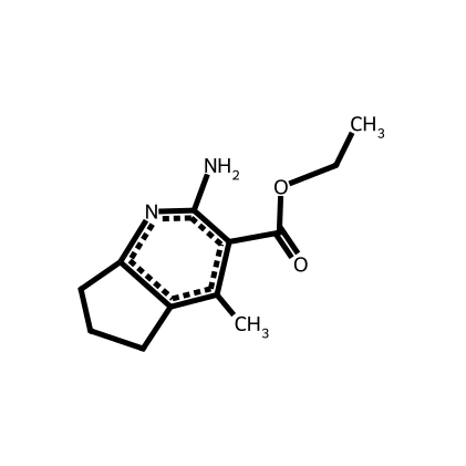 CCOC(=O)c1c(N)nc2c(c1C)CCC2